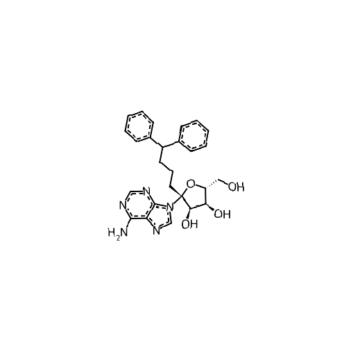 Nc1ncnc2c1ncn2[C@]1(CCCC(c2ccccc2)c2ccccc2)O[C@H](CO)[C@@H](O)[C@H]1O